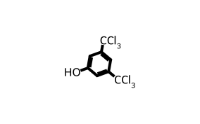 Oc1cc(C(Cl)(Cl)Cl)cc(C(Cl)(Cl)Cl)c1